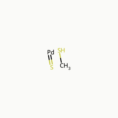 CS.[S]=[Pd]